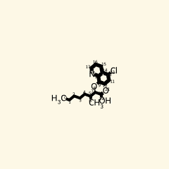 CCCCCC(C)[C@H](Oc1ccc(Cl)c2cccnc12)C(=O)O